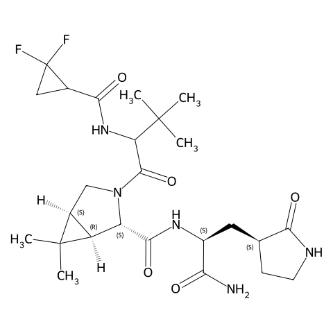 CC(C)(C)C(NC(=O)C1CC1(F)F)C(=O)N1C[C@H]2[C@@H]([C@H]1C(=O)N[C@@H](C[C@@H]1CCNC1=O)C(N)=O)C2(C)C